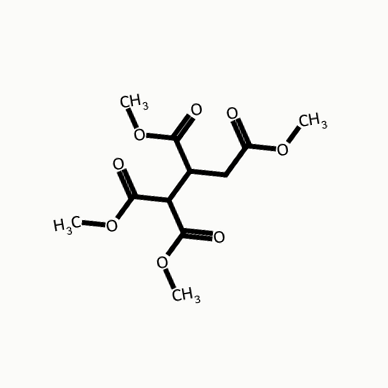 COC(=O)CC(C(=O)OC)C(C(=O)OC)C(=O)OC